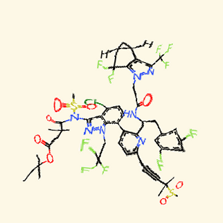 CC(C)(C)OC(=O)CC(C)(C)C(=O)N(c1nn(CC(F)(F)F)c2c(-c3ccc(C#CC(C)(C)S(C)(=O)=O)nc3[C@H](Cc3cc(F)cc(F)c3)NC(=O)Cn3nc(C(F)(F)F)c4c3C(F)(F)[C@@H]3C[C@H]43)ccc(Cl)c12)S(C)(=O)=O